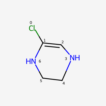 ClC1=CNCCN1